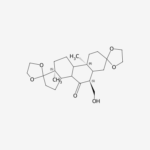 C[C@]12CCC3(CC1[C@@H](CO)C(=O)C1C2CC[C@@]2(C)C1CCC21OCCO1)OCCO3